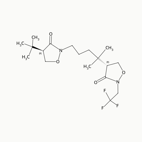 CC(C)(C)[C@@H]1CON(CCCC(C)(C)[C@@H]2CON(CC(F)(F)F)C2=O)C1=O